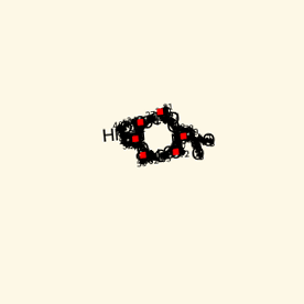 COCCN(CCOC)c1ccc(CC2OC(=O)C(CC(C)C)N(C)CC(C)OC(=O)C(CC(C)C)N(C)C(=O)C(Cc3ccc(NC(C)OC)cc3)OC(=O)C(CC(C)C)N(C)CC(C)OC(=O)C(CC(C)C)N(C)C2=O)cc1